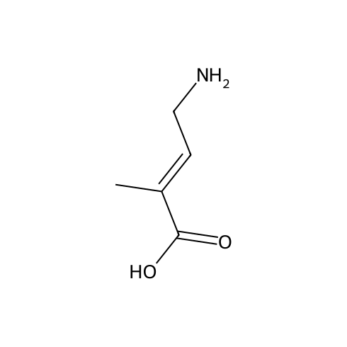 C/C(=C\CN)C(=O)O